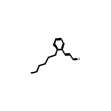 CCCCCCc1ccccc1C=CC=O